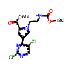 COC(=O)c1cc(-c2nc(Cl)ncc2Cl)cn1CCNC(=O)OC(C)(C)C